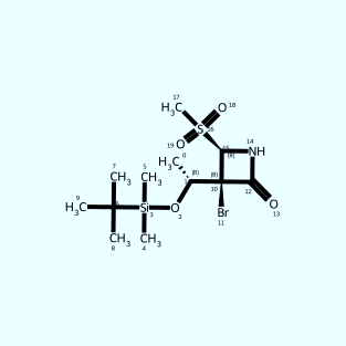 C[C@@H](O[Si](C)(C)C(C)(C)C)[C@@]1(Br)C(=O)N[C@@H]1S(C)(=O)=O